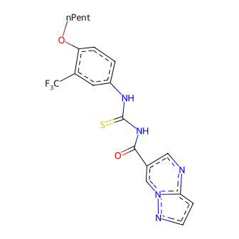 CCCCCOc1ccc(NC(=S)NC(=O)c2cnc3ccnn3c2)cc1C(F)(F)F